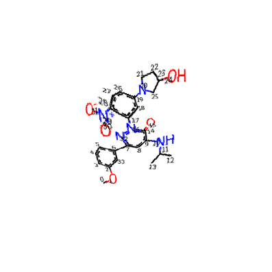 COc1cccc(-c2cc(NC(C)C)c(=O)n(-c3cc(N4CCC(O)C4)ccc3[N+](=O)[O-])n2)c1